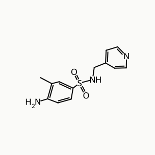 Cc1cc(S(=O)(=O)NCc2ccncc2)ccc1N